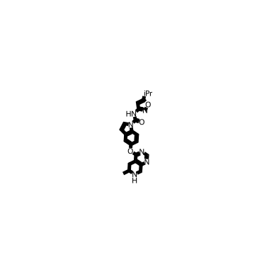 CC1Cc2c(ncnc2Oc2ccc3c(ccn3C(=O)Nc3cc(C(C)C)on3)c2)CN1